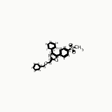 CS(=O)(=O)c1ccc(-c2oc(COCc3ccccc3)nc2-c2ccccc2)cc1